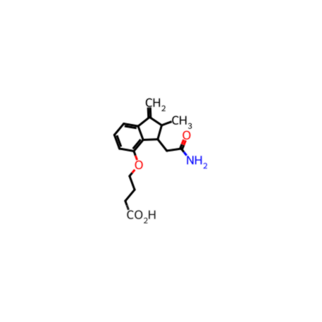 C=C1c2cccc(OCCCC(=O)O)c2C(CC(N)=O)C1C